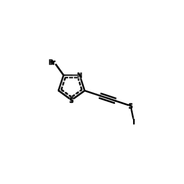 Brc1csc(C#CSI)n1